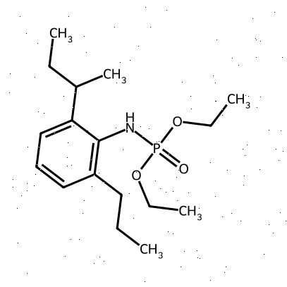 CCCc1cccc(C(C)CC)c1NP(=O)(OCC)OCC